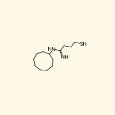 N=C(CCCS)NC1CCCCCCCC1